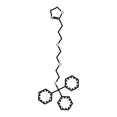 c1ccc(C(SCCOCCOCCCC2=NCCO2)(c2ccccc2)c2ccccc2)cc1